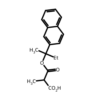 CCC(C)(OC(=O)C(C)C(=O)O)c1ccc2ccccc2c1